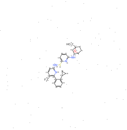 O=C(O)C12CCC(O1)C(Nc1cccc(SNc3ccc(C(F)(F)F)c(-c4ccccc4C4CC4)n3)n1)C2